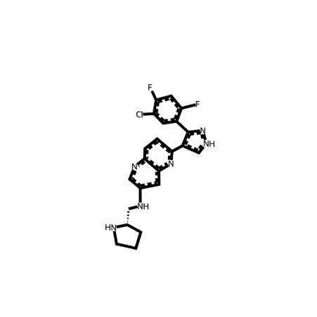 Fc1cc(F)c(-c2n[nH]cc2-c2ccc3ncc(NC[C@@H]4CCCN4)cc3n2)cc1Cl